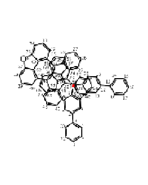 c1ccc(-c2ccc3c(c2)c2cc(-c4ccccc4)ccc2n3-c2c3ccccc3c(-c3cccc4oc5cccc(-c6c7ccccc7c(-c7ccccc7)c7ccccc67)c5c34)c3ccccc23)cc1